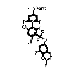 CCCCCc1cc(F)c(-c2c([O])cc(F)c(C(F)(F)Oc3cc(F)c(OC(F)F)c(F)c3)c2F)c(F)c1